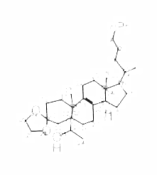 CC(C)CCC[C@@H](C)[C@H]1CC[C@H]2C3=C(CC[C@]12C)[C@@]1(C)CCC2(C[C@@]1(C(C)O)CC3)OCCO2